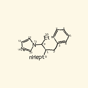 CCCCCCCC(Cc1ccccc1)C(CC)n1ccnc1